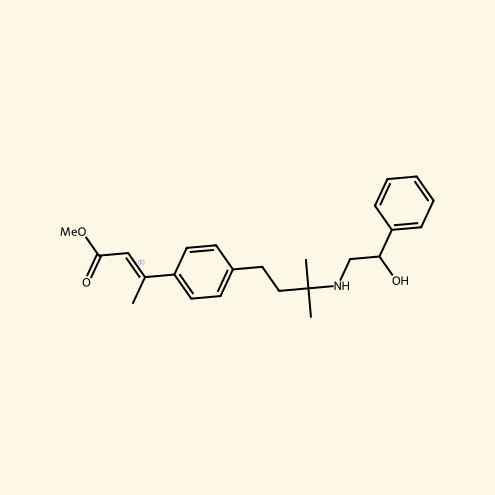 COC(=O)/C=C(\C)c1ccc(CCC(C)(C)NCC(O)c2ccccc2)cc1